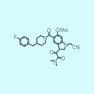 COc1cc2c(cc1C(=O)N1CCC(Cc3ccc(F)cc3)CC1)C(C(=O)C(=O)N(C)C)CN2CC#N